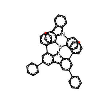 c1ccc(-c2cc(-c3ccccc3)c3c(c2)c2cc(-c4ccccc4)cc(-c4ccccc4)c2n3B2c3ccccc3-n3c4ccccc4c4cccc2c43)cc1